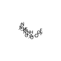 Cc1oc(-c2cccc(OC(F)F)c2)cc1C(=O)Nc1nc(CC(C)N2CCN(C)CC2)ns1